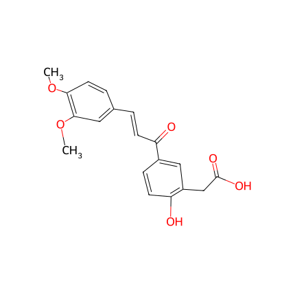 COc1ccc(C=CC(=O)c2ccc(O)c(CC(=O)O)c2)cc1OC